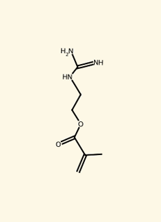 C=C(C)C(=O)OCCNC(=N)N